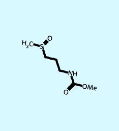 COC(=O)NCCC[Si](C)=O